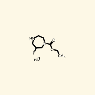 CCOC(=O)N1CCNCC(F)C1.Cl